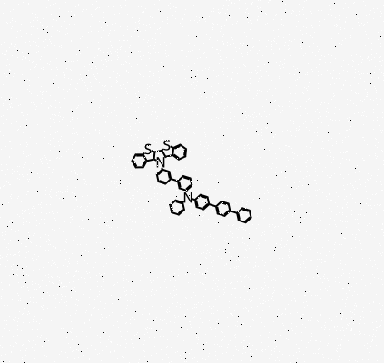 c1ccc(-c2ccc(-c3ccc(N(c4ccccc4)c4cccc(-c5cccc(N6C7c8ccccc8SC7C7Sc8ccccc8C76)c5)c4)cc3)cc2)cc1